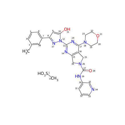 CS(=O)(=O)O.Cc1cccc(-c2cc(O)n(-c3nc4c(c(N5CCOCC5)n3)CN(C(=O)Nc3cccnc3)C4)n2)c1